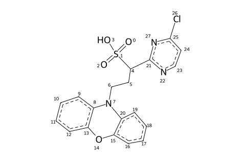 O=S(=O)(O)C(CCN1c2ccccc2Oc2ccccc21)c1nccc(Cl)n1